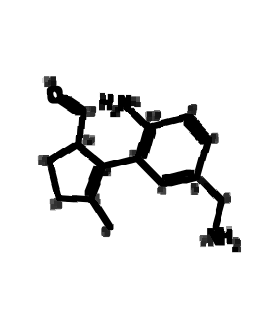 CC1=C(c2cc(CN)ccc2N)C(C=O)CC1